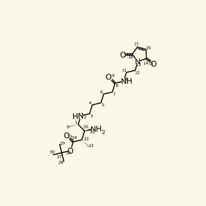 C[C@H](NCCCCCC(=O)NCCN1C(=O)C=CC1=O)[C@@H](N)[C@H](C)C(=O)OC(C)(C)C